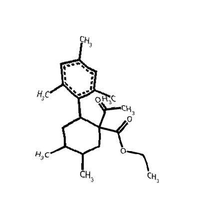 CCOC(=O)C1(C(C)=O)CC(C)C(C)CC1c1c(C)cc(C)cc1C